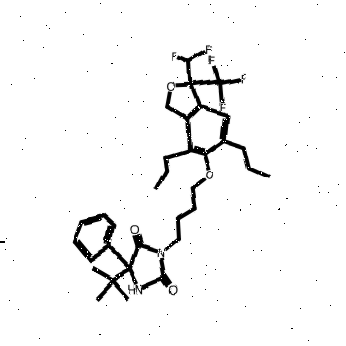 CCCC1=CC2C(COC2(C(F)F)C(F)(F)F)C(CCC)=C1OCCCCN1C(=O)NC(c2ccccc2)(C(C)(C)C)C1=O